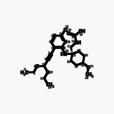 CCOC(C#Cc1cnc(Cl)nc1N[C@]1(CNC(=O)O)CC[C@H](OC)CC1)OCC